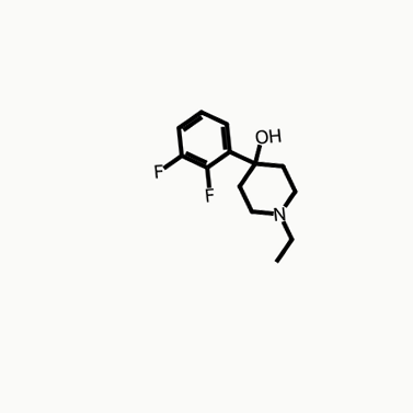 CCN1CCC(O)(c2cccc(F)c2F)CC1